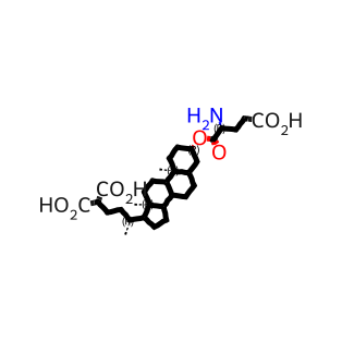 C[C@H](CCC(C(=O)O)C(=O)O)C1CCC2C3CCC4C[C@H](OC(=O)[C@H](N)CCC(=O)O)CC[C@]4(C)C3CC[C@@]21C